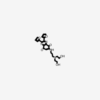 O=C1C=C(NCCCN(CCO)CCO)C(=O)c2nc(-c3ccco3)c(-c3ccco3)nc21